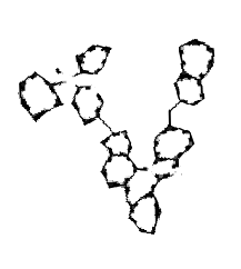 O=P(c1ccccc1)(c1ccccc1)c1ccc(-c2ccc3c(ccc4c5ccccc5c5nc6ccc(Cc7ccc8ccccc8c7)cc6n5c34)c2)cn1